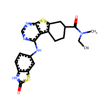 CN(CC#N)C(=O)C1CCc2c(sc3ncnc(Nc4ccc5[nH]c(=O)sc5c4)c23)C1